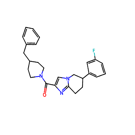 O=C(c1cn2c(n1)CCC(c1cccc(F)c1)C2)N1CCC(Cc2ccccc2)CC1